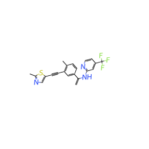 C=C(Nc1cc(C(F)(F)F)ccn1)c1ccc(C)c(C#Cc2cnc(C)s2)c1